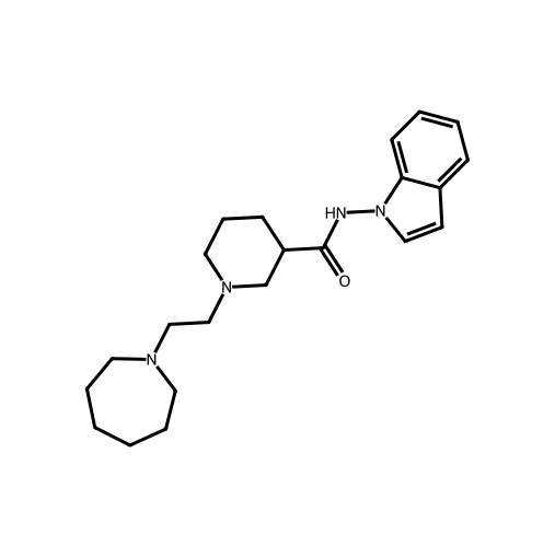 O=C(Nn1ccc2ccccc21)C1CCCN(CCN2CCCCCC2)C1